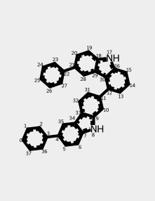 c1ccc(-c2ccc3[nH]c4cc(-c5cccc6[nH]c7ccc(-c8ccccc8)cc7c56)ccc4c3c2)cc1